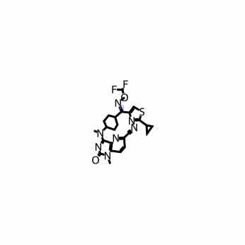 CN(c1nc(=O)n(C)c2ccc(C#N)nc12)C1CCC(/C(=N/OC(F)F)c2csc(C3CC3)n2)CC1